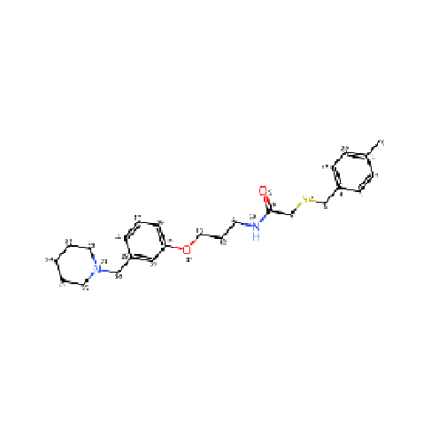 Cc1ccc(CSCC(=O)NCCCOc2cccc(CN3CCCCC3)c2)cc1